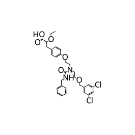 CCOC(Cc1ccc(OCCN(CCOCc2cc(Cl)cc(Cl)c2)C(=O)NCc2ccccc2)cc1)C(=O)O